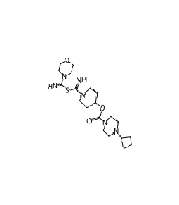 N=C(SC(=N)N1CCC(OC(=O)N2CCN(C3CCC3)CC2)CC1)N1CCOCC1